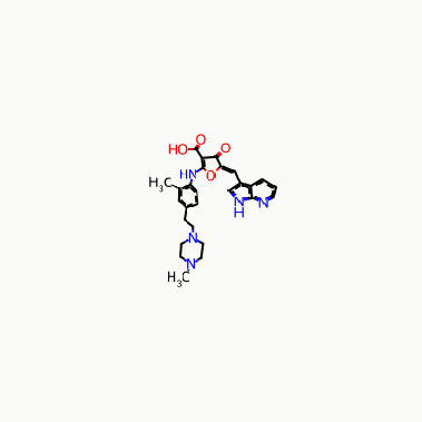 Cc1cc(CCN2CCN(C)CC2)ccc1NC1=C(C(=O)O)C(=O)C(=Cc2c[nH]c3ncccc23)O1